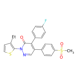 CCc1ccsc1-n1ncc(-c2ccc(S(C)(=O)=O)cc2)c(-c2ccc(F)cc2)c1=O